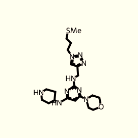 CSCCCn1cc(CNc2nc(NC3CCNCC3)cc(N3CCOCC3)n2)nn1